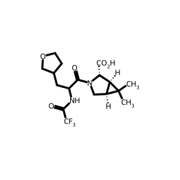 CC1(C)[C@@H]2[C@@H](C(=O)O)N(C(=O)C(CC3CCOC3)NC(=O)C(F)(F)F)C[C@@H]21